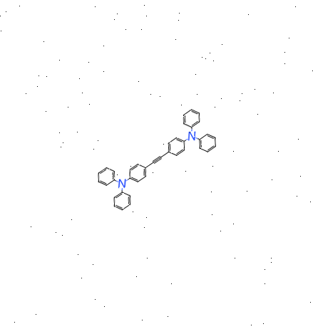 C(#Cc1ccc(N(c2ccccc2)c2ccccc2)cc1)c1ccc(N(c2ccccc2)c2ccccc2)cc1